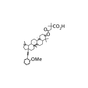 COc1ccccc1C#CC12CC[C@@H](C)C1C1CCC3[C@@]4(C)CC[C@H](OC(=O)CC(C)(C)C(=O)O)C(C)(C)C4CC[C@@]3(C)[C@]1(C)CC2